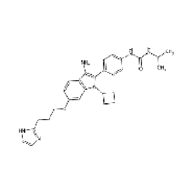 CC(C)NC(=O)Nc1ccc(-c2c(N)c3ccc(OCCCc4ncc[nH]4)cc3n2C2CCC2)cc1